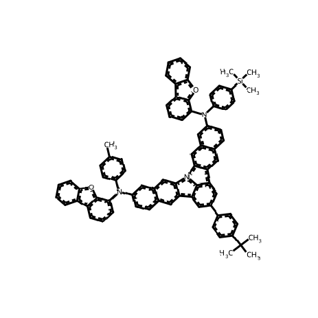 Cc1ccc(N(c2ccc3cc4c5cc(-c6ccc(C(C)(C)C)cc6)cc6c7cc8ccc(N(c9ccc([Si](C)(C)C)cc9)c9cccc%10c9oc9ccccc9%10)cc8cc7n(c4cc3c2)c56)c2cccc3c2oc2ccccc23)cc1